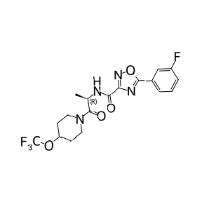 C[C@@H](NC(=O)c1noc(-c2cccc(F)c2)n1)C(=O)N1CCC(OC(F)(F)F)CC1